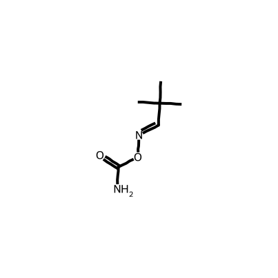 CC(C)(C)C=NOC(N)=O